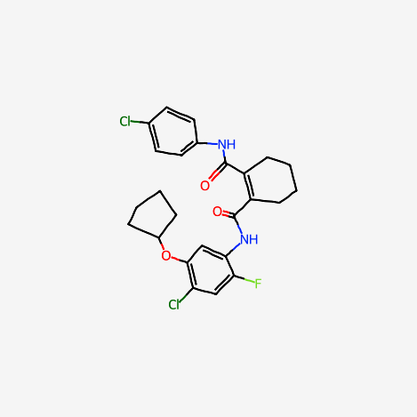 O=C(Nc1ccc(Cl)cc1)C1=C(C(=O)Nc2cc(OC3CCCC3)c(Cl)cc2F)CCCC1